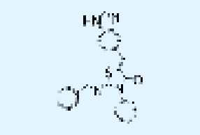 O=C1/C(=C/c2ccc3[nH]cnc3c2)S/C(=N\Cc2ccccc2)N1c1ccccc1